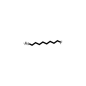 FCCCCCCCC[As]